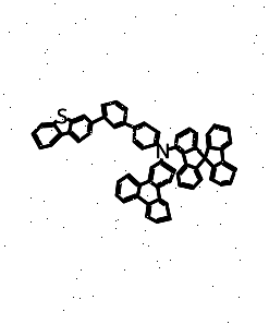 c1cc(-c2ccc(N(c3ccc4c5ccccc5c5ccccc5c4c3)c3cccc4c3-c3ccccc3C43c4ccccc4-c4ccccc43)cc2)cc(-c2ccc3c(c2)sc2ccccc23)c1